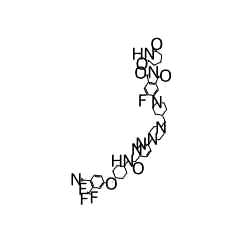 N#Cc1ccc(O[C@H]2CC[C@H](NC(=O)c3ccc(N4CCN(CC5CCN(c6cc7c(cc6F)C(=O)N(C6CCC(=O)NC6=O)C7=O)CC5)CC4)nn3)CC2)cc1C(F)(F)F